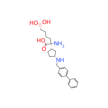 NC(CCCCB(O)O)(C(=O)O)[C@H]1CC[C@@H](NCc2ccc(-c3ccccc3)cc2)C1